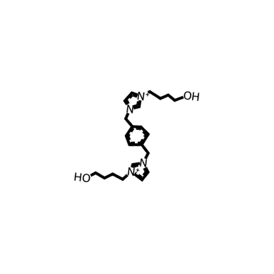 OCCCC[n+]1ccn(Cc2ccc(Cn3cc[n+](CCCCO)c3)cc2)c1